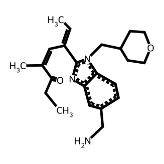 C/C=C(\C=C(\C)C(=O)CC)c1nc2cc(CN)ccc2n1CC1CCOCC1